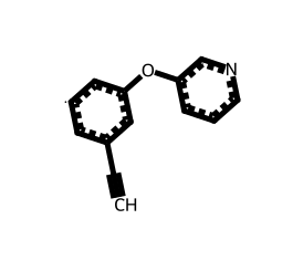 C#Cc1c[c]cc(Oc2cccnc2)c1